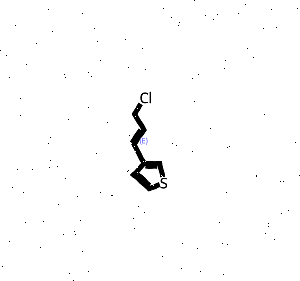 ClC/C=C/c1ccsc1